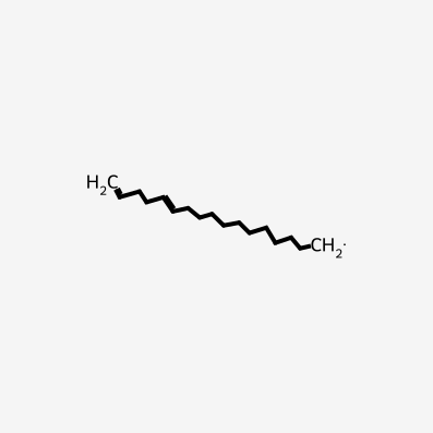 [CH2]CCCCCCCCCCC=CCCC=C